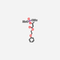 COP(=O)(OC)OC(C)=CC(=O)OCCOc1ccccc1